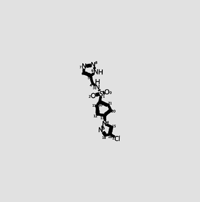 O=S(=O)(NCc1cnn[nH]1)c1ccc(-n2cc(Cl)cn2)cc1